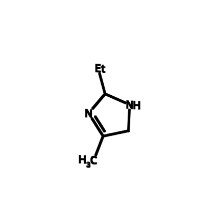 CCC1N=C(C)CN1